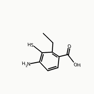 CCc1c(C(=O)O)ccc(N)c1S